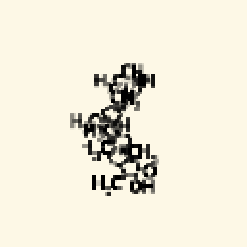 CC1=C(O)C(=O)C=C2C1=CC=C1[C@@]2(C)CC[C@@]2(C)[C@@H]3C[C@](C)(CN4CCNC(C)(C)C4)CC[C@]3(C)CC[C@]12C